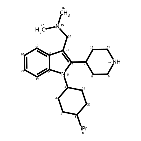 CC(C)C1CCC(n2c(C3CCNCC3)c(CN(C)C)c3ccccc32)CC1